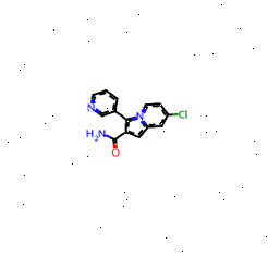 NC(=O)c1cc2cc(Cl)ccn2c1-c1cccnc1